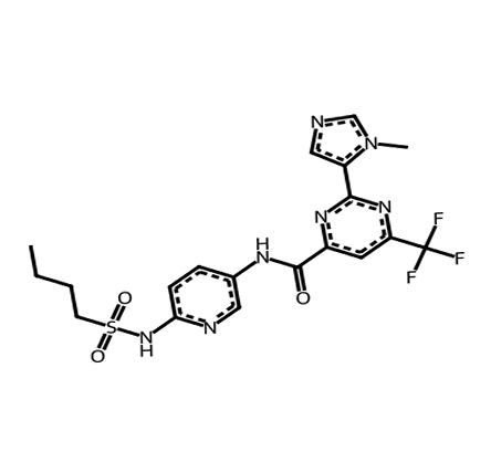 CCCCS(=O)(=O)Nc1ccc(NC(=O)c2cc(C(F)(F)F)nc(-c3cncn3C)n2)cn1